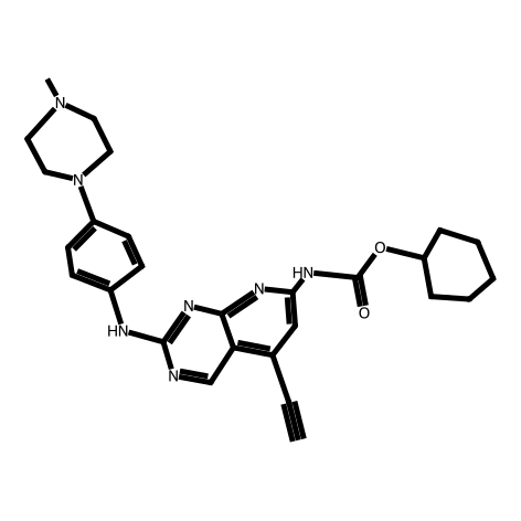 C#Cc1cc(NC(=O)OC2CCCCC2)nc2nc(Nc3ccc(N4CCN(C)CC4)cc3)ncc12